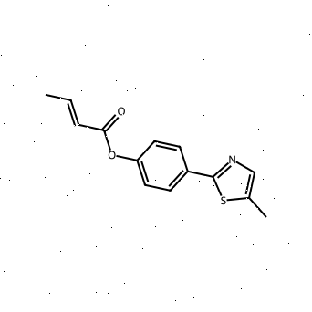 C/C=C/C(=O)Oc1ccc(-c2ncc(C)s2)cc1